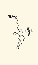 CCCCCCCCCCCCCCNC(=O)c1cccc([N+]#N)c1.F[B-](F)(F)F